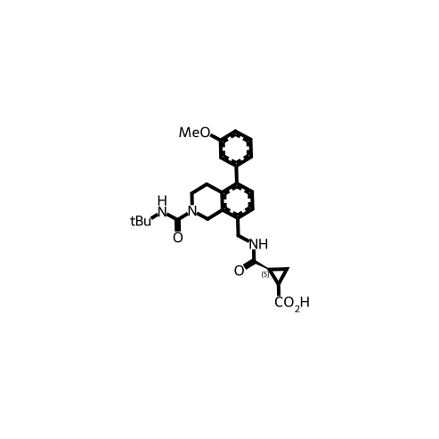 COc1cccc(-c2ccc(CNC(=O)[C@H]3CC3C(=O)O)c3c2CCN(C(=O)NC(C)(C)C)C3)c1